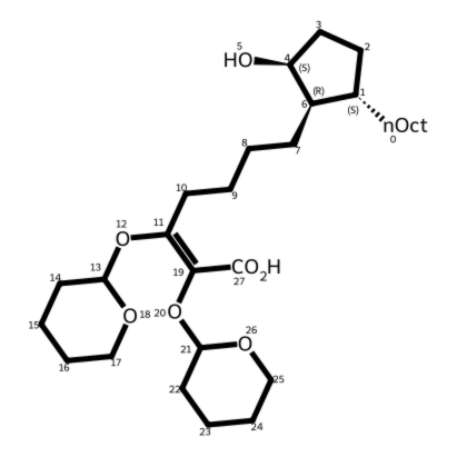 CCCCCCCC[C@H]1CC[C@H](O)[C@@H]1CCCCC(OC1CCCCO1)=C(OC1CCCCO1)C(=O)O